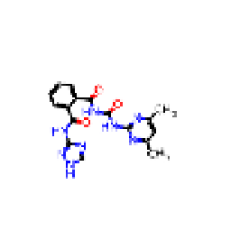 Cc1cc(C)nc(NC(=O)NC(=O)c2ccccc2C(=O)Nc2nc[nH]n2)n1